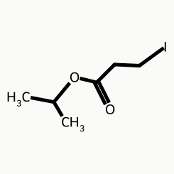 CC(C)OC(=O)CCI